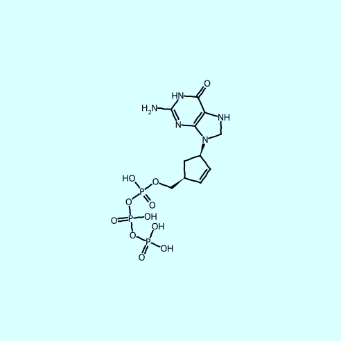 Nc1nc2c(c(=O)[nH]1)NCN2[C@H]1C=C[C@@H](COP(=O)(O)OP(=O)(O)OP(=O)(O)O)C1